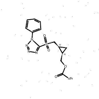 CCCC(=O)OC[C@@H]1C[C@@H]1CS(=O)(=O)c1nnnn1-c1ccccc1